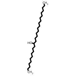 CCCCCCCCCCCCCCCCC(O)CCCCCCCCCCC